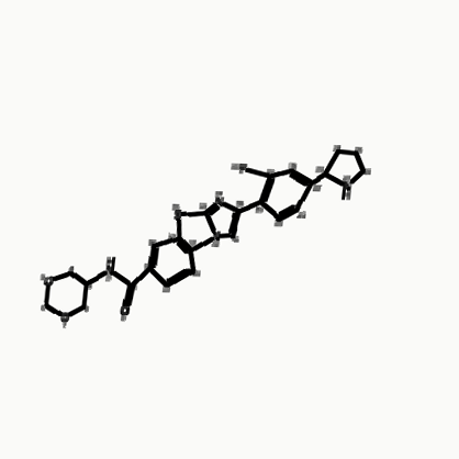 O=C(NC1COCOC1)c1ccc2c(c1)sc1nc(-c3ccc(C4CCCN4)cc3F)cn12